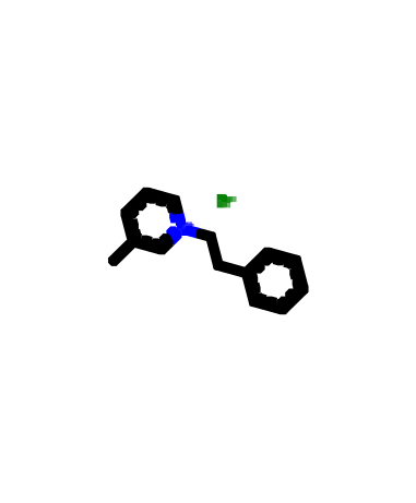 Cc1ccc[n+](CCc2ccccc2)c1.[Br-]